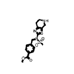 COC(=O)c1ccc(CN(c2nc3c(s2)CNCC3)S(C)(=O)=O)cc1